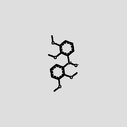 COc1cccc([S+]([O-])c2cccc(OC)c2OC)c1OC